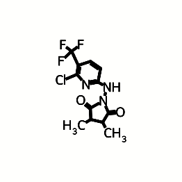 CC1C(=O)N(Nc2ccc(C(F)(F)F)c(Cl)n2)C(=O)C1C